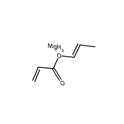 C=CC(=O)OC=CC.[MgH2]